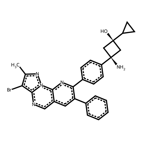 Cc1nn2c(ncc3cc(-c4ccccc4)c(-c4ccc([C@]5(N)C[C@](O)(C6CC6)C5)cc4)nc32)c1Br